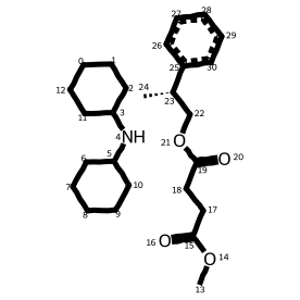 C1CCC(NC2CCCCC2)CC1.COC(=O)CCC(=O)OC[C@H](C)c1ccccc1